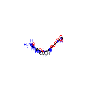 Nc1nc2ncc(CNc3ccc(C(=O)N[C@@H](CCC(=O)NCCCCc4cn(CCOCCOCCOCCNC(=O)CCN5C(=O)C=CC5=O)nn4)C(=O)O)cc3)nc2c(=O)[nH]1